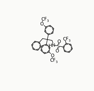 O=S(=O)(NCC(Cc1ccccc1)(c1cccc(OC(F)(F)F)c1)c1cccc(OC(F)(F)F)c1)c1ccccc1C(F)(F)F